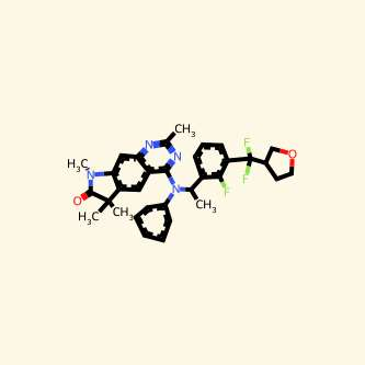 Cc1nc(N(c2ccccc2)C(C)c2cccc(C(F)(F)C3CCOC3)c2F)c2cc3c(cc2n1)N(C)C(=O)C3(C)C